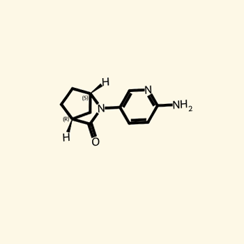 Nc1ccc(N2C(=O)[C@@H]3CC[C@H]2C3)cn1